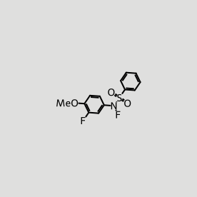 COc1ccc(N(F)S(=O)(=O)c2ccccc2)cc1F